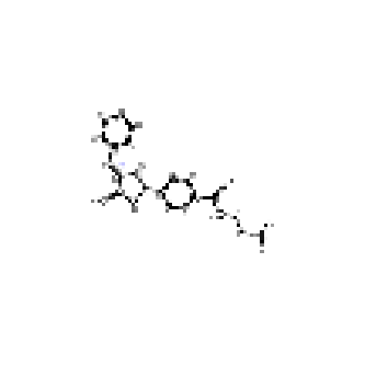 CN(C)CCOC(=O)c1ccc(C2OC(=O)/C(=C/c3ccccc3)S2)cc1